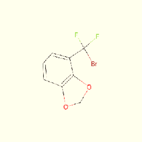 FC(F)(Br)c1cccc2c1OCO2